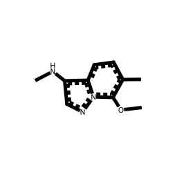 CNc1cnn2c(OC)c(C)ccc12